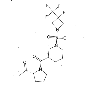 CC(=O)[C@H]1CCCN1C(=O)C1CCCN(S(=O)(=O)N2CC(F)(C(F)(F)F)C2)C1